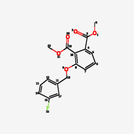 COC(=O)c1cccc(OCc2cccc(F)c2)c1C(=O)OC